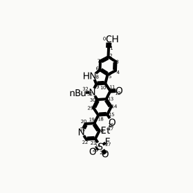 C#Cc1ccc2c(c1)[nH]c1c2c(=O)c2cc(OCC)c(-c3cncc(S(=O)(=O)F)c3)cc2n1CCCC